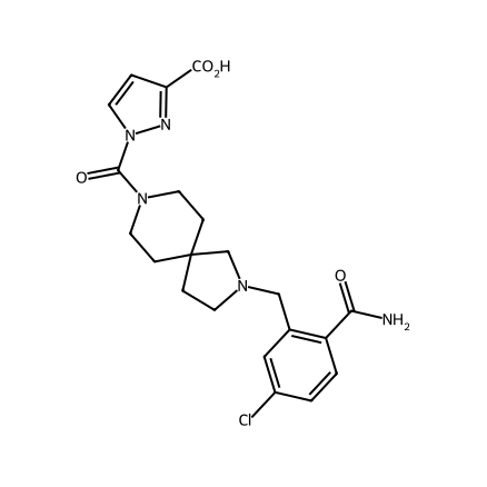 NC(=O)c1ccc(Cl)cc1CN1CCC2(CCN(C(=O)n3ccc(C(=O)O)n3)CC2)C1